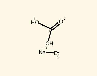 C[CH2][Na].O=C(O)O